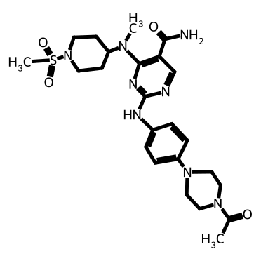 CC(=O)N1CCN(c2ccc(Nc3ncc(C(N)=O)c(N(C)C4CCN(S(C)(=O)=O)CC4)n3)cc2)CC1